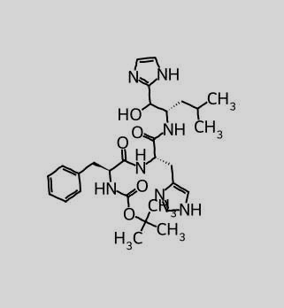 CC(C)C[C@H](NC(=O)[C@H](Cc1c[nH]cn1)NC(=O)[C@H](Cc1ccccc1)NC(=O)OC(C)(C)C)C(O)c1ncc[nH]1